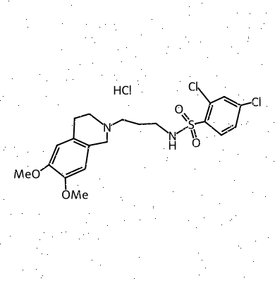 COc1cc2c(cc1OC)CN(CCCNS(=O)(=O)c1ccc(Cl)cc1Cl)CC2.Cl